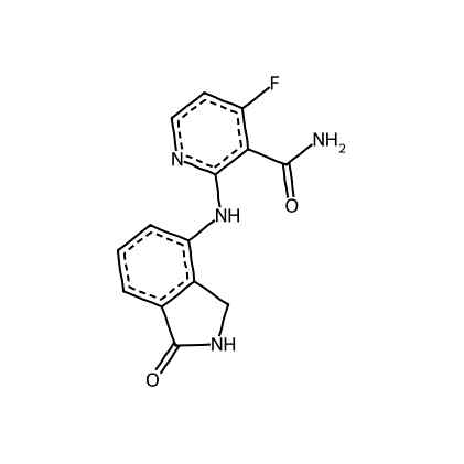 NC(=O)c1c(F)ccnc1Nc1cccc2c1CNC2=O